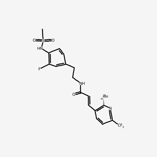 CC[C@@H](C)c1nc(C(F)(F)F)ccc1C=CC(=O)NCCc1ccc(NS(C)(=O)=O)c(F)c1